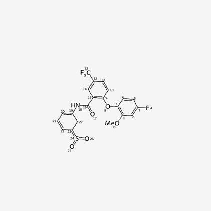 COc1cc(F)ccc1Oc1ccc(C(F)(F)F)cc1C(=O)NC1=CC=CC(=S(=O)=O)C1